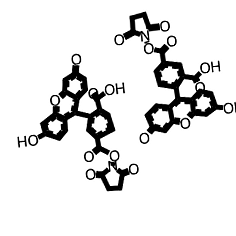 O=C(ON1C(=O)CCC1=O)c1ccc(-c2c3ccc(=O)cc-3oc3cc(O)ccc23)c(C(=O)O)c1.O=C(ON1C(=O)CCC1=O)c1ccc(C(=O)O)c(-c2c3ccc(=O)cc-3oc3cc(O)ccc23)c1